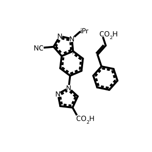 CC(C)n1nc(C#N)c2cc(-n3cc(C(=O)O)cn3)ccc21.O=C(O)C=Cc1ccccc1